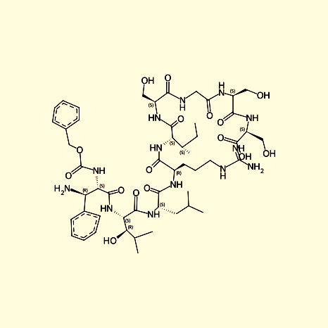 CC[C@H](C)[C@H](NC(=O)[C@@H](CCCNC(=N)N)NC(=O)[C@H](CC(C)C)NC(=O)[C@@H](NC(=O)[C@@H](NC(=O)OCc1ccccc1)[C@H](N)c1ccccc1)[C@H](O)C(C)C)C(=O)N[C@@H](CO)C(=O)NCC(=O)N[C@@H](CO)C(=O)N[C@@H](CO)C(=O)O